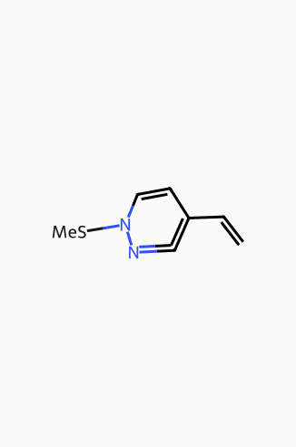 C=CC1=C=NN(SC)C=C1